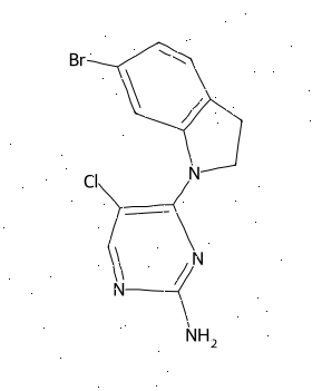 Nc1ncc(Cl)c(N2CCc3ccc(Br)cc32)n1